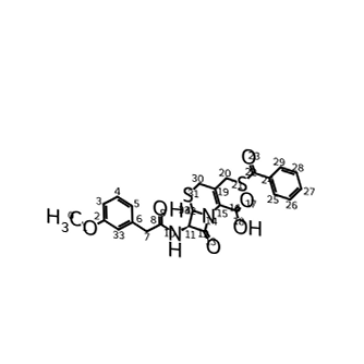 COc1cccc(CC(=O)N[C@@H]2C(=O)N3C(C(=O)O)=C(CSC(=O)c4ccccc4)CS[C@H]23)c1